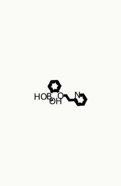 OB(O)c1ccccc1OCCc1ccccn1